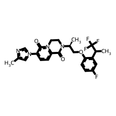 Cc1cn(-c2ccc3n(c2=O)CCN([C@@H](C)COc2ccc(F)cc2C(C)C(F)(F)F)C3=O)cn1